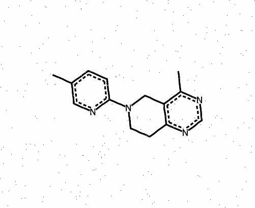 Cc1ccc(N2CCc3ncnc(C)c3C2)nc1